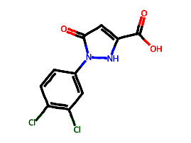 O=C(O)c1cc(=O)n(-c2ccc(Cl)c(Cl)c2)[nH]1